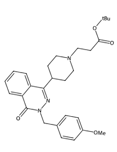 COc1ccc(Cn2nc(C3CCN(CCC(=O)OC(C)(C)C)CC3)c3ccccc3c2=O)cc1